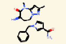 Cc1cc2n(n1)CCC(=N)C(=O)N2C.NC(=O)c1ccn(Cc2ccccc2)c1